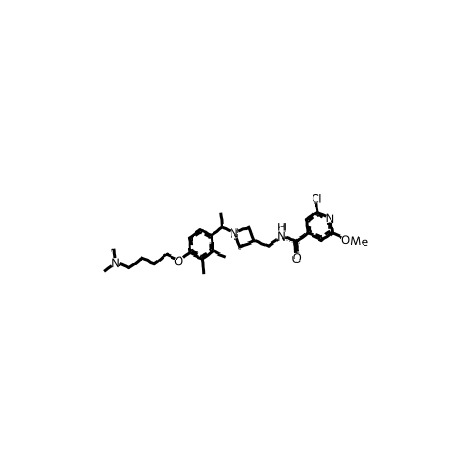 COc1cc(C(=O)NCC2CN(C(C)c3ccc(OCCCCN(C)C)c(C)c3C)C2)cc(Cl)n1